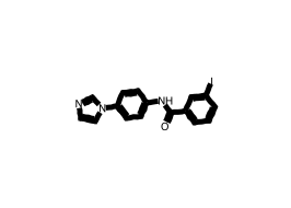 O=C(Nc1ccc(-n2ccnc2)cc1)c1cccc(I)c1